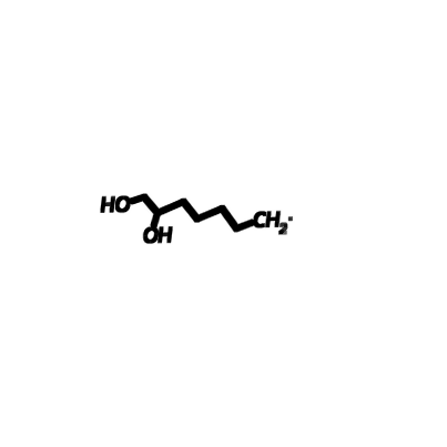 [CH2]CCCCC(O)CO